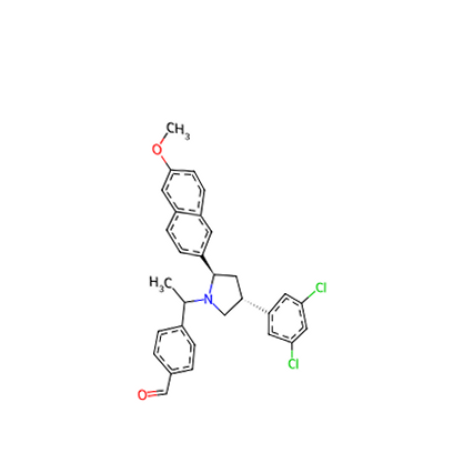 COc1ccc2cc([C@H]3C[C@H](c4cc(Cl)cc(Cl)c4)CN3C(C)c3ccc(C=O)cc3)ccc2c1